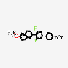 CCC[C@H]1CC[C@H](c2cc(F)c(-c3ccc4cc(OC(F)(F)F)ccc4c3)c(F)c2)CC1